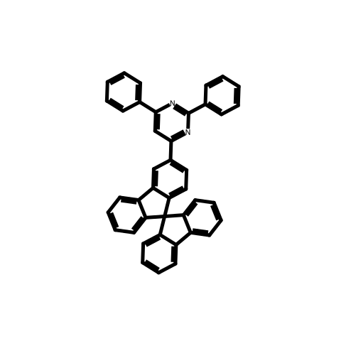 c1ccc(-c2cc(-c3ccc4c(c3)-c3ccccc3C43c4ccccc4-c4ccccc43)nc(-c3ccccc3)n2)cc1